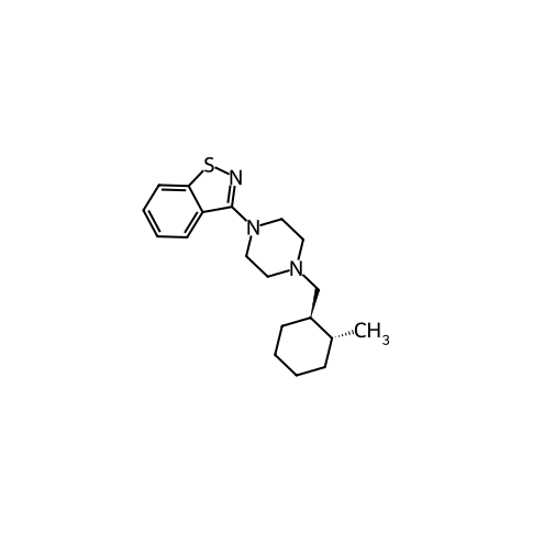 C[C@@H]1CCCC[C@H]1CN1CCN(c2nsc3ccccc23)CC1